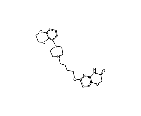 O=C1COc2ccc(OCCCCN3CCN(c4cccc5c4OCCO5)CC3)nc2N1